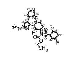 CCOC(=O)N(c1ccc(F)c(-c2nn(CCF)cc2-c2ccncc2)c1F)S(=O)(=O)c1cc(F)ccc1F